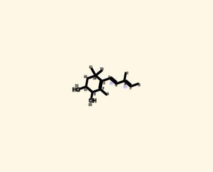 C/C=C(C)/C=C/C1=C(C)C(O)C(O)CC1(C)C